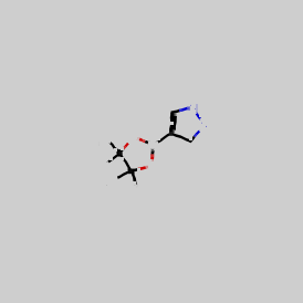 CC1(C)OB(C2=CNNC2)OC1(C)C